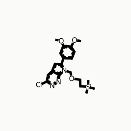 COc1ccc(-c2cc3cc(Cl)nnc3n2COCC[Si](C)(C)C)cc1OC